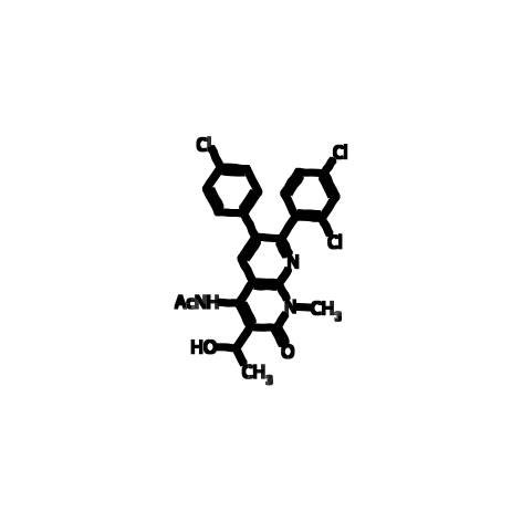 CC(=O)Nc1c(C(C)O)c(=O)n(C)c2nc(-c3ccc(Cl)cc3Cl)c(-c3ccc(Cl)cc3)cc12